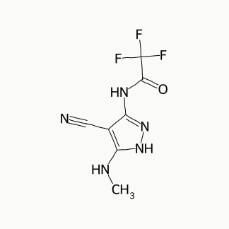 CNc1[nH]nc(NC(=O)C(F)(F)F)c1C#N